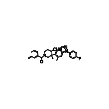 C=C/C=C(\C=C/C)C(=O)N1CC[C@@H](C=O)[C@](C)(c2cc3cnn(-c4ccc(F)cc4)c3cc2C)C1